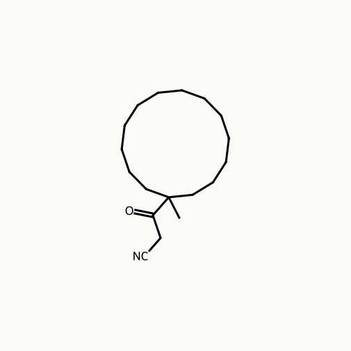 CC1(C(=O)CC#N)CCCCCCCCCCCCC1